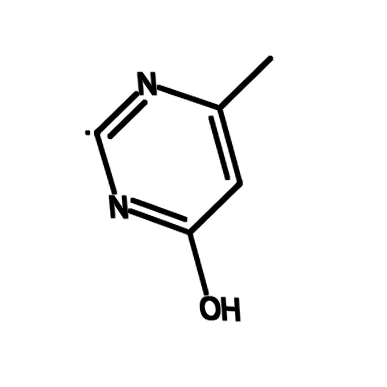 Cc1cc(O)n[c]n1